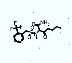 CCCCC(=O)C(C(N)=O)N(C)S(=O)(=O)Cc1ccccc1C(F)(F)F